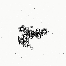 C[C@H](Cn1cnc2c(N)ncnc21)OC[P@@](=O)(NC(C)(C)C(=O)OC1CCCC1)O[C@@H](C)C(=O)OC1CCCC1